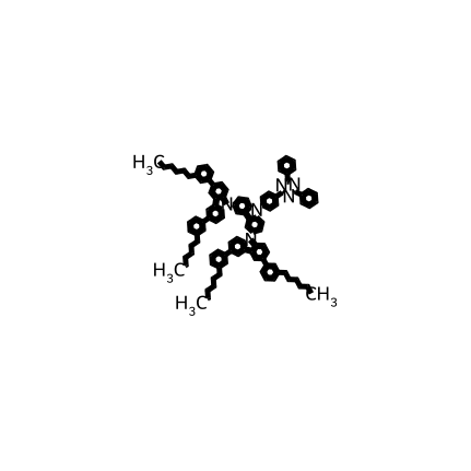 CCCCCCc1cccc(-c2ccc3c(c2)c2cc(-c4cccc(CCCCCC)c4)ccc2n3-c2ccc3c(c2)c2cc(-n4c5ccc(-c6cccc(CCCCCC)c6)cc5c5cc(-c6cccc(CCCCCC)c6)ccc54)ccc2n3-c2ccc(-c3nc(-c4ccccc4)nc(-c4ccccc4)n3)cc2)c1